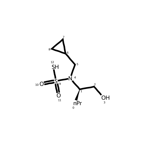 CCC[C@H](CO)N(CC1CC1)S(=O)(=O)S